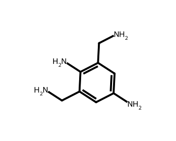 NCc1cc(N)cc(CN)c1N